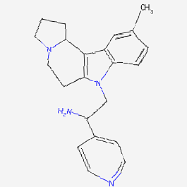 Cc1ccc2c(c1)c1c(n2CC(N)c2ccncc2)CCN2CCCC12